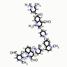 CC(=O)c1cc[n+](C)c2ccccc12.CC(=O)c1cc[n+](C)cc1.CC(=O)c1cccc[n+]1C.C[n+]1c(C=O)ccc2ccccc21.C[n+]1ccc(C=O)c2ccccc21.Cc1c[n+](C)ccc1C=O.Cc1cc(C=O)cc[n+]1C